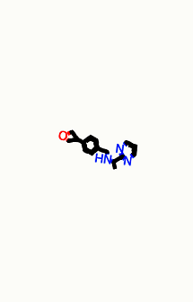 CC(NCc1ccc(C2COC2)cc1)c1ncccn1